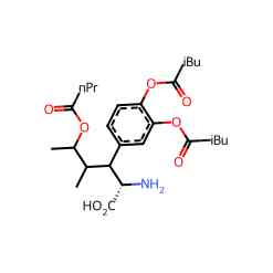 CCCC(=O)OC(C)C(C)C(c1ccc(OC(=O)C(C)CC)c(OC(=O)C(C)CC)c1)[C@H](N)C(=O)O